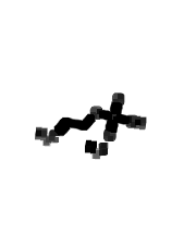 C=CCOS(=O)(=O)O.S